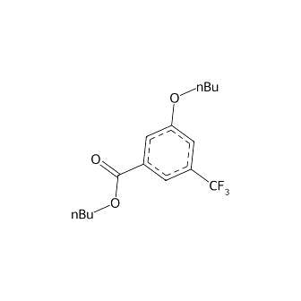 CCCCOC(=O)c1cc(OCCCC)cc(C(F)(F)F)c1